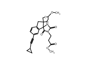 COC(=O)CCN1C(=O)NC2(C1=O)c1cc(C#CC3CC3)ccc1CC21CCC(OC)CC1